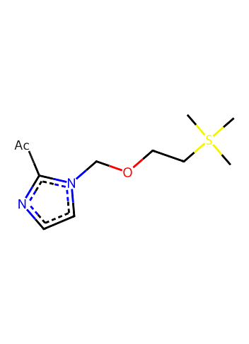 CC(=O)c1nccn1COCCS(C)(C)C